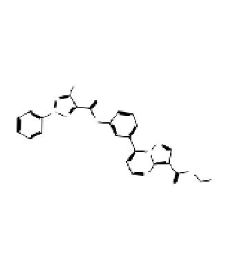 CCOC(=O)c1cnn2c(-c3cccc(NC(=O)c4nn(-c5ccccc5)nc4C)c3)ccnc12